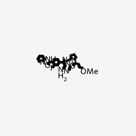 COC/C=C/C(=O)N1CCCC1c1nc(-c2ccc(C(=O)Nc3ccccn3)c(F)c2)c2c(N)nccn12